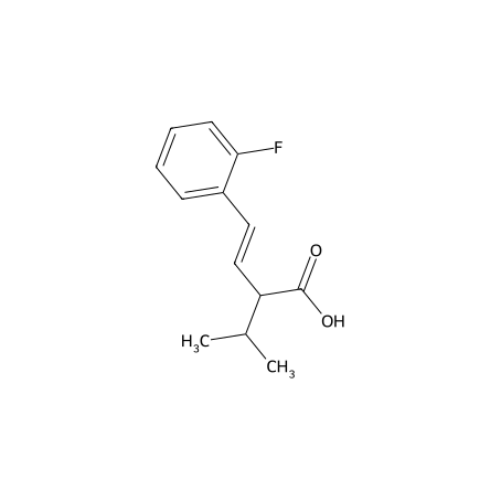 CC(C)C(C=Cc1ccccc1F)C(=O)O